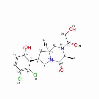 C[C@H]1C(=O)N2C[C@@H](c3c(O)ccc(Cl)c3Cl)C[C@H]2CN1C(=O)CO